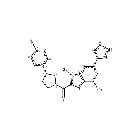 O=C(c1nc2c(C(F)(F)F)cc(-c3cn[nH]c3)cn2c1Br)N1CCC(c2ccc(F)cc2)C1